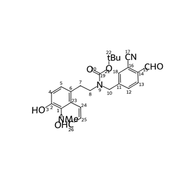 CNc1c(O)ccc(CCN(Cc2ccc(C=O)c(C#N)c2)C(=O)OC(C)(C)C)c1/C=C\C=O